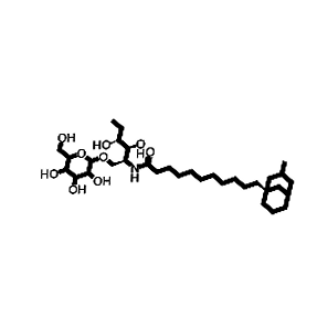 CC[C@@H](O)[C@@H](O)[C@H](COC1OC(CO)C(O)C(O)C1O)NC(=O)CCCCCCCCCC[C@@]12CCCC(CC(C)C1)C2